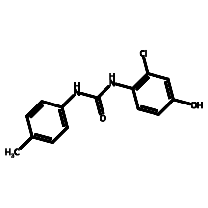 Cc1ccc(NC(=O)Nc2ccc(O)cc2Cl)cc1